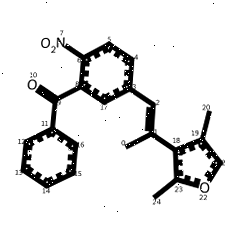 CC(=Cc1ccc([N+](=O)[O-])c(C(=O)c2ccccc2)c1)c1c(C)coc1C